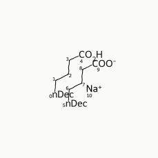 CCCCCCCCCCCCCC(=O)O.CCCCCCCCCCCCCC(=O)[O-].[Na+]